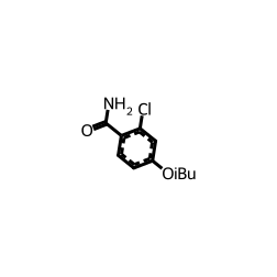 CC(C)COc1ccc(C(N)=O)c(Cl)c1